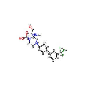 CNC1(CC=O)CN(c2ccc(-c3cccc(C(F)(F)F)c3)cc2)CCN1C(=O)O